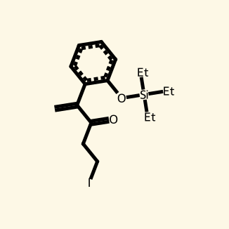 C=C(C(=O)CCI)c1ccccc1O[Si](CC)(CC)CC